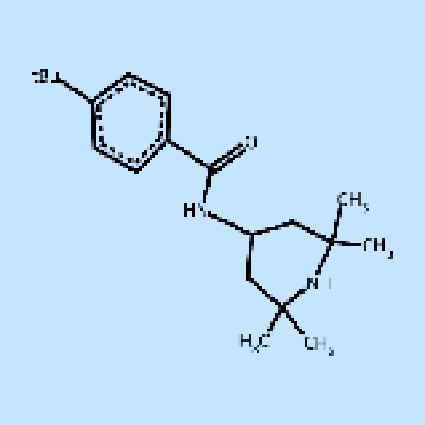 CC1(C)CC(NC(=O)c2ccc(C(C)(C)C)cc2)CC(C)(C)N1